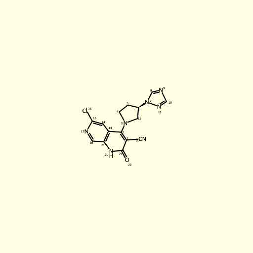 N#Cc1c(N2CC[C@@H](n3cncn3)C2)c2cc(Cl)ncc2[nH]c1=O